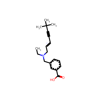 CCN(C/C=C/C#CC(C)(C)C)Cc1cccc(C(=O)O)c1